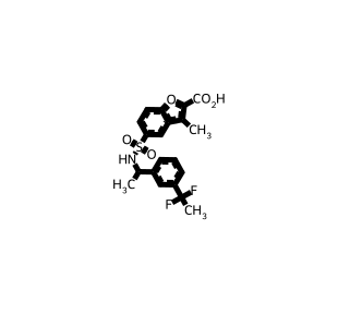 Cc1c(C(=O)O)oc2ccc(S(=O)(=O)NC(C)c3cccc(C(C)(F)F)c3)cc12